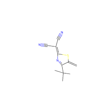 C=c1sc(=C(C#N)C#N)nc1C(C)(C)C